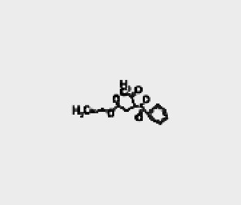 C=CCOC(=O)CC(C(C)=O)S(=O)(=O)c1ccccc1